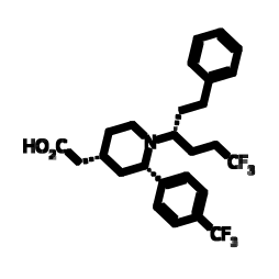 O=C(O)C[C@@H]1CCN([C@H](CCc2ccccc2)CCC(F)(F)F)[C@H](c2ccc(C(F)(F)F)cc2)C1